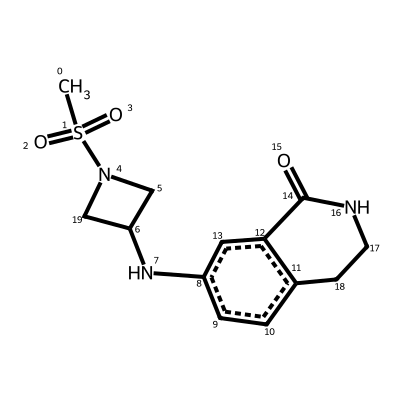 CS(=O)(=O)N1CC(Nc2ccc3c(c2)C(=O)NCC3)C1